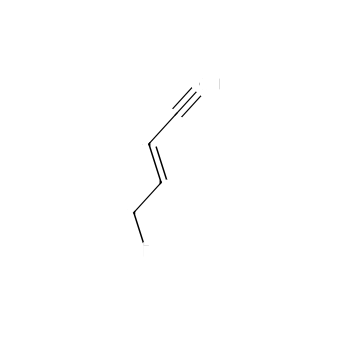 C#CC=CCF